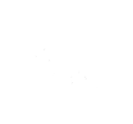 Cc1c(C)c2cc(C(=O)N[C@@H](C)c3ccccn3)ccc2n(-c2ccc(C(F)(F)F)cc2)c1=O